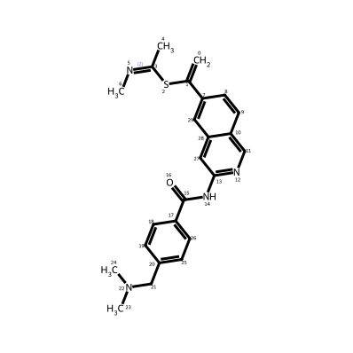 C=C(S/C(C)=N\C)c1ccc2cnc(NC(=O)c3ccc(CN(C)C)cc3)cc2c1